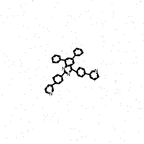 c1ccc(-c2cc(-c3ccccc3)c3nc(-c4ccc(-c5cccnc5)cc4)nc(-c4ccc(-c5cccnc5)cc4)c3c2)cc1